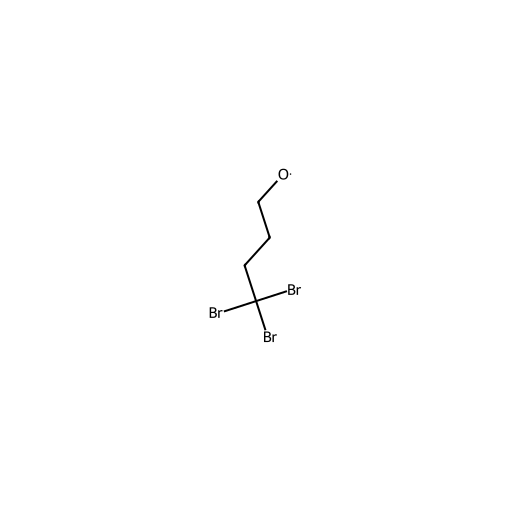 [O]CCCC(Br)(Br)Br